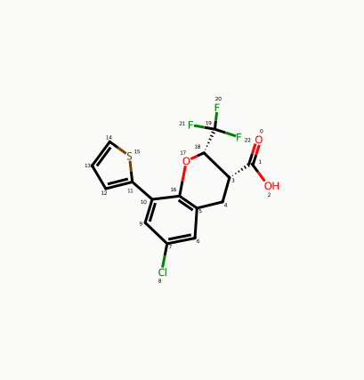 O=C(O)[C@@H]1Cc2cc(Cl)cc(-c3cccs3)c2O[C@@H]1C(F)(F)F